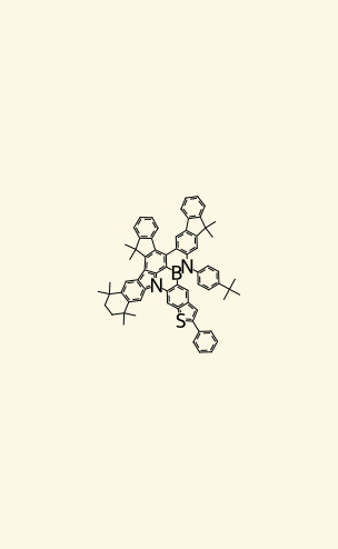 CC(C)(C)c1ccc(N2B3c4cc5cc(-c6ccccc6)sc5cc4-n4c5cc6c(cc5c5c7c(c(c3c54)-c3cc4c(cc32)C(C)(C)c2ccccc2-4)-c2ccccc2C7(C)C)C(C)(C)CCC6(C)C)cc1